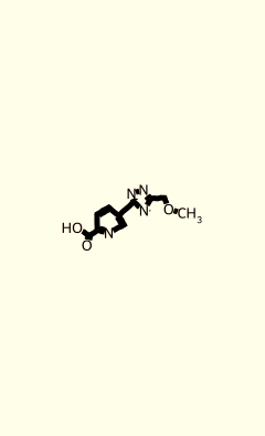 COCC1=NN=C(c2ccc(C(=O)O)nc2)[N]1